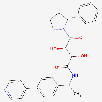 C[C@@H](NC(=O)C(O)[C@@H](O)C(=O)N1CCC[C@@H]1c1ccccc1)c1ccc(-c2ccncc2)cc1